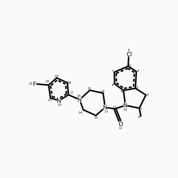 CC1Cc2cc(Cl)ccc2N1C(=O)N1CCN(c2ccc(F)cn2)CC1